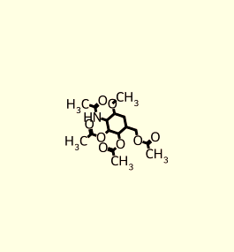 COC1CC(COC(C)=O)C(OC(C)=O)C(OC(C)=O)C1NC(C)=O